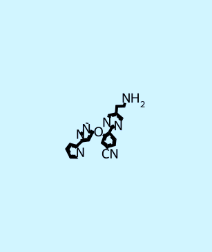 Cn1nc(-c2ccccn2)cc1Oc1cc(C#N)ccc1-c1ncc(CCN)cn1